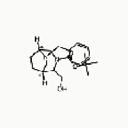 CC(C)(C)OC(=O)N1C[C@H]2CC[C@H](CN2Cc2ccccc2)C1CO